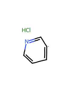 Cl.[c]1cccnc1